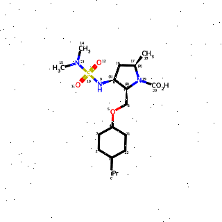 CC(C)C1CCC(OC[C@H]2[C@@H](NS(=O)(=O)N(C)C)C[C@@H](C)N2C(=O)O)CC1